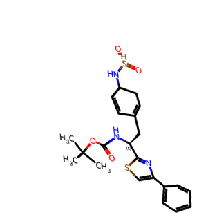 CC(C)(C)OC(=O)N[C@@H](CC1=CCC(N[SH](=O)=O)C=C1)c1nc(-c2ccccc2)cs1